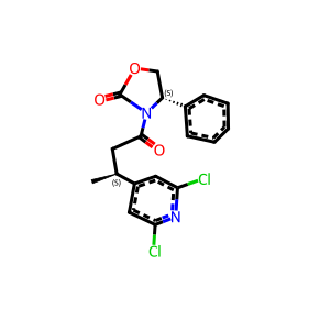 C[C@@H](CC(=O)N1C(=O)OC[C@@H]1c1ccccc1)c1cc(Cl)nc(Cl)c1